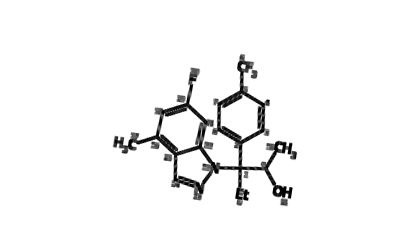 CCC(c1ccc(C(F)(F)F)cc1)(C(C)O)n1ncc2c(C)cc(F)cc21